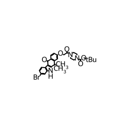 CC(C)(C)OC(=O)N1CCN(C(=O)COc2ccc3c(c2)C(C)(C)c2[nH]c4cc(Br)ccc4c2C3=O)CC1